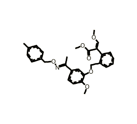 COC=C(C(=O)OC)c1ccccc1COc1cc(C(C)=NOCc2ccc(C)cc2)ccc1OC